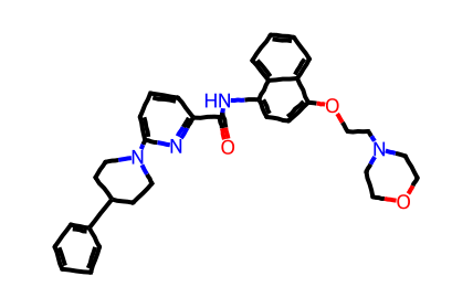 O=C(Nc1ccc(OCCN2CCOCC2)c2ccccc12)c1cccc(N2CCC(c3ccccc3)CC2)n1